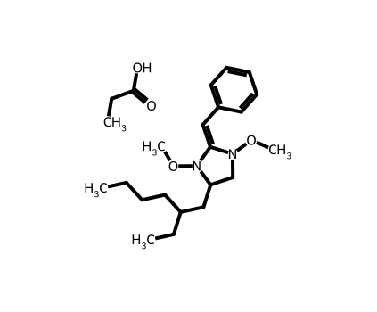 CCC(=O)O.CCCCC(CC)CC1CN(OC)C(=Cc2ccccc2)N1OC